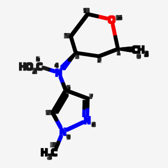 C[C@H]1C[C@@H](N(C(=O)O)c2cnn(C)c2)CCO1